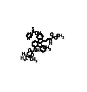 CC[C@@H](CCCNC(=O)OC)C1(c2ccccc2)C=CC=C(NC(=O)OC(C)(C)C)C1c1ccccc1.OC(=S)n1ccnc1